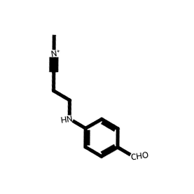 C[N+]#CCCNc1ccc(C=O)cc1